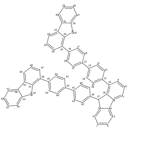 c1ccc2c(c1)-c1cccc(-c3ccc(-c4ccc(-c5cccc6c5sc5ccccc56)cc4)cc3)c1C2c1ccc(-c2ccc(-c3cccc4c3sc3ccccc34)cc2)cc1